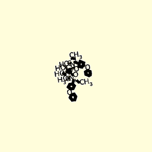 CCC[C@H](c1ccc(Oc2ccccc2)cc1)N(C)C(=O)[C@H]1[C@@H](C(=O)O)[C@H](C(=O)O)[C@@H]1C(=O)N(C)[C@H](CCC)c1ccc(Oc2ccccc2)cc1